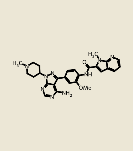 COc1cc(-c2nn(C3CCN(C)CC3)c3ncnc(N)c23)ccc1NC(=O)c1cc2cccnc2n1C